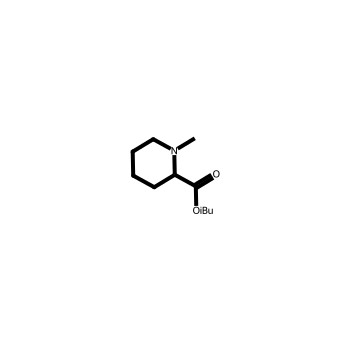 CC(C)COC(=O)C1CCCCN1C